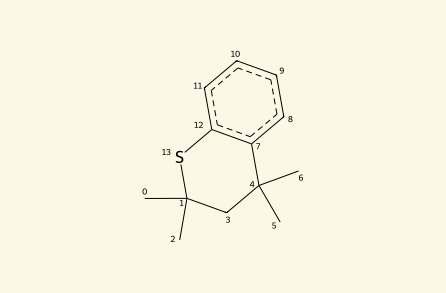 CC1(C)CC(C)(C)c2ccccc2S1